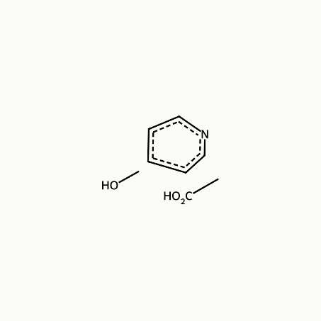 CC(=O)O.CO.c1ccncc1